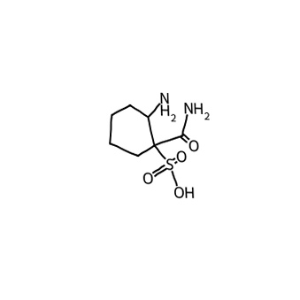 NC(=O)C1(S(=O)(=O)O)CCCCC1N